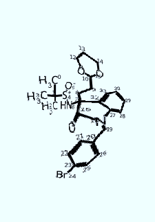 CC(C)(C)[S+]([O-])NC1(CCC2OCCCO2)C(=O)N(Cc2ccc(Br)cc2)c2ccccc21